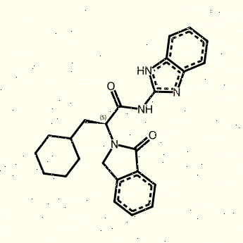 O=C(Nc1nc2ccccc2[nH]1)[C@H](CC1CCCCC1)N1Cc2ccccc2C1=O